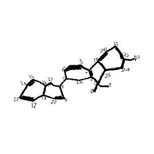 CC1(C)C2=C(C=CC(C3C=CC4C=CC=CC4C3)C2)C2=CC=C(I)CC21